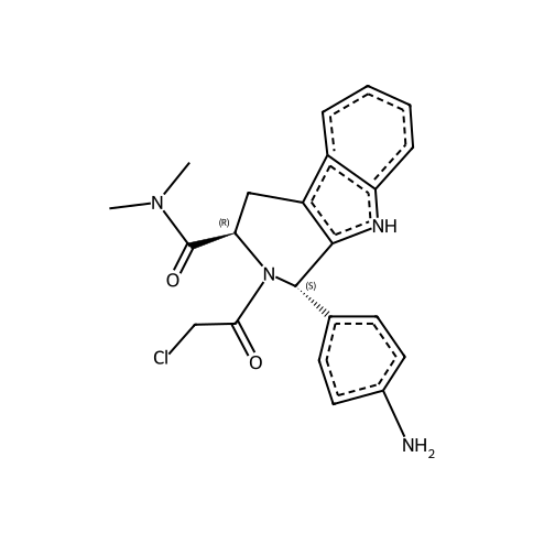 CN(C)C(=O)[C@H]1Cc2c([nH]c3ccccc23)[C@H](c2ccc(N)cc2)N1C(=O)CCl